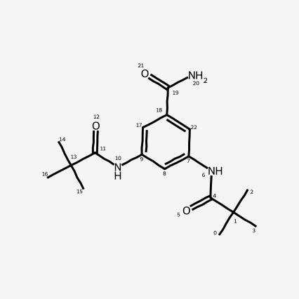 CC(C)(C)C(=O)Nc1cc(NC(=O)C(C)(C)C)cc(C(N)=O)c1